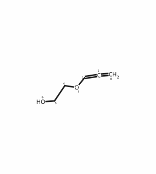 C=C=COCCO